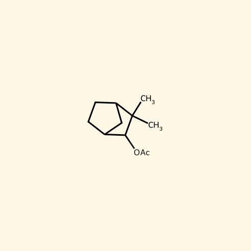 CC(=O)OC1C2CCC(C2)C1(C)C